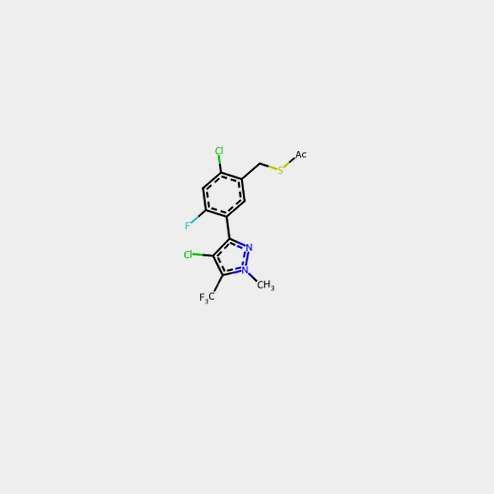 CC(=O)SCc1cc(-c2nn(C)c(C(F)(F)F)c2Cl)c(F)cc1Cl